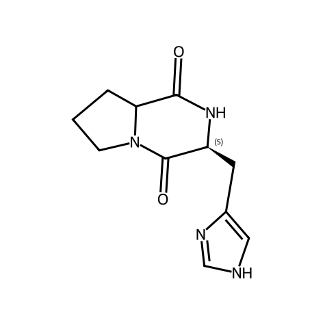 O=C1N[C@@H](Cc2c[nH]cn2)C(=O)N2CCCC12